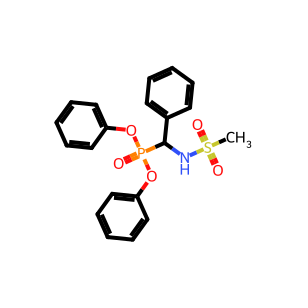 CS(=O)(=O)NC(c1ccccc1)P(=O)(Oc1ccccc1)Oc1ccccc1